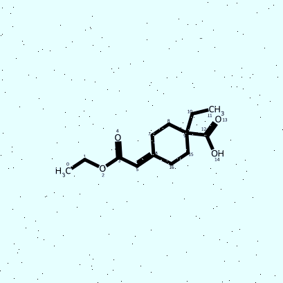 CCOC(=O)C=C1CCC(CC)(C(=O)O)CC1